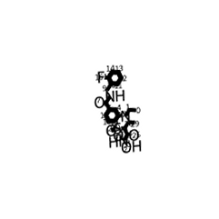 CCN1c2cc(C(=O)NCc3ccccc3F)ccc2S(=O)(=O)C(C(=O)NO)C1C